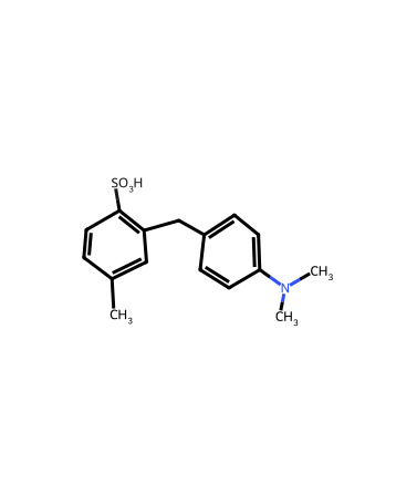 Cc1ccc(S(=O)(=O)O)c(Cc2ccc(N(C)C)cc2)c1